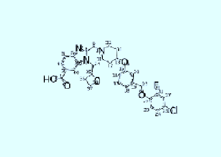 O=C(O)c1ccc2nc(CN3CCC(Oc4cccc(COc5ccc(Cl)cc5F)c4)CC3)n(C[C@@H]3CCO3)c2c1